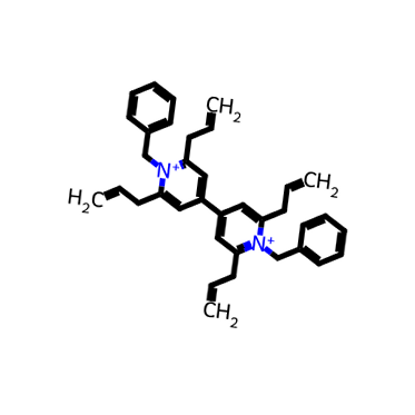 C=CCc1cc(-c2cc(CC=C)[n+](Cc3ccccc3)c(CC=C)c2)cc(CC=C)[n+]1Cc1ccccc1